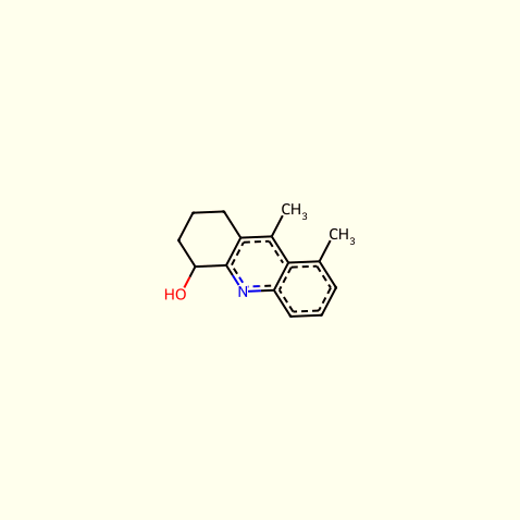 Cc1cccc2nc3c(c(C)c12)CCCC3O